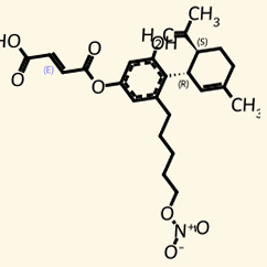 C=C(C)[C@H]1CCC(C)=C[C@@H]1c1c(O)cc(OC(=O)/C=C/C(=O)O)cc1CCCCCO[N+](=O)[O-]